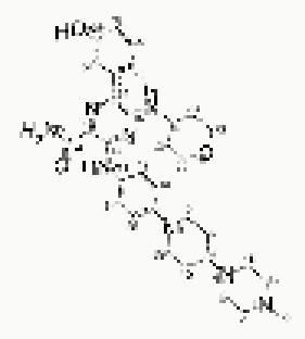 CN1CCN(C2CCN(c3ccc(Nc4nc(NC5CCOCC5)c(-c5cccc(O)c5)nc4C(N)=O)cc3)CC2)CC1